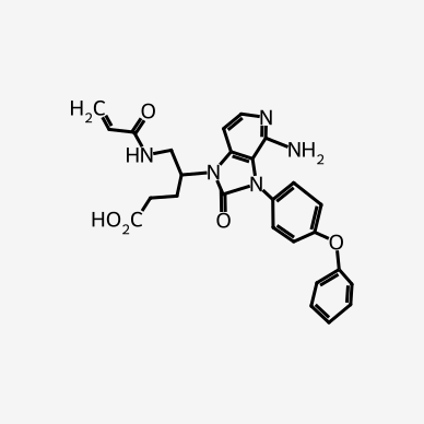 C=CC(=O)NCC(CCC(=O)O)n1c(=O)n(-c2ccc(Oc3ccccc3)cc2)c2c(N)nccc21